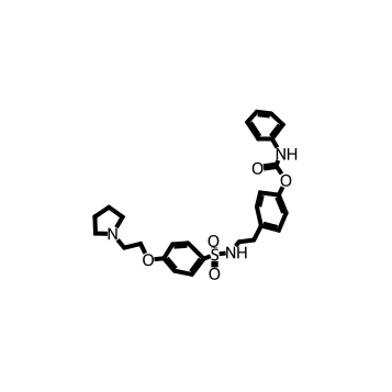 O=C(Nc1ccccc1)Oc1ccc(CCNS(=O)(=O)c2ccc(OCCN3CCCC3)cc2)cc1